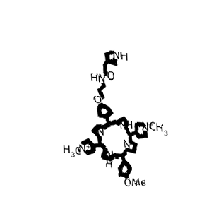 COc1ccc(-c2c3nc(c(-c4cc[n+](C)cc4)c4ccc([nH]4)c(-c4ccc(OCCCNC(=O)Cc5cc[nH]c5)cc4)c4nc(c(-c5cc[n+](C)cc5)c5ccc2[nH]5)C=C4)C=C3)cc1